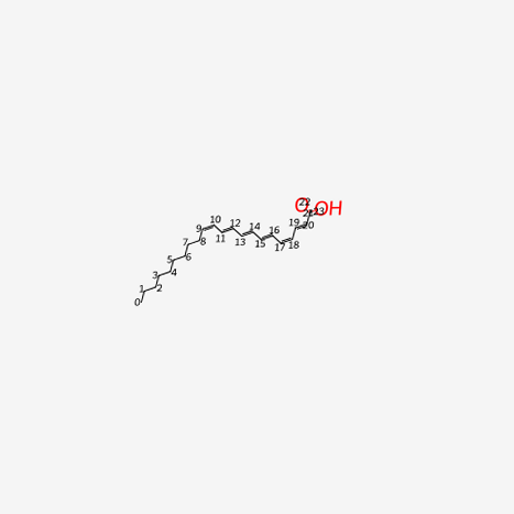 CCCCCCCCC\C=C/C=C/C=C/C=C/C=C\C=C\C(=O)O